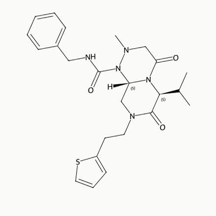 CC(C)[C@H]1C(=O)N(CCc2cccs2)C[C@H]2N1C(=O)CN(C)N2C(=O)NCc1ccccc1